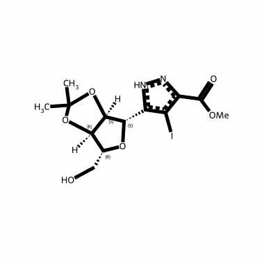 COC(=O)c1n[nH]c([C@@H]2O[C@H](CO)[C@H]3OC(C)(C)O[C@H]32)c1I